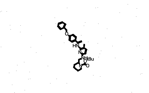 C=C(Nc1nc(NCC2CCCCN2C(=O)OC(C)(C)C)ccc1C)c1ccc(OCc2ccccc2)cc1